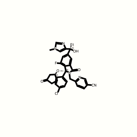 CC[C@](O)(c1cc(F)c2c(c1)C(=O)N(Cc1ccc(C#N)cn1)[C@@]2(O[C@H]1CCC(=O)C1)c1ccc(Cl)cc1)c1cn(C)cn1